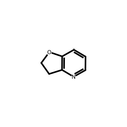 [c]1ccnc2c1OCC2